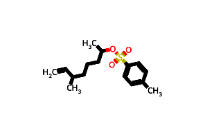 C=CC(C)CCCC(C)OS(=O)(=O)c1ccc(C)cc1